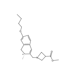 CCCCOc1ccc2c(c1)C[C@@H](C)C(CN1CC(C(=O)OC)C1)=C2